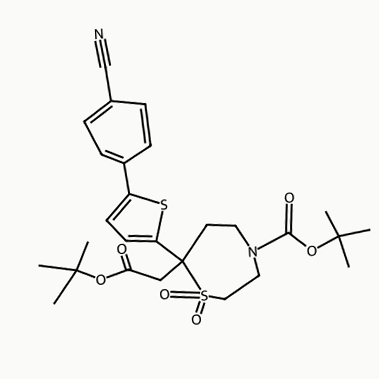 CC(C)(C)OC(=O)CC1(c2ccc(-c3ccc(C#N)cc3)s2)CCN(C(=O)OC(C)(C)C)CCS1(=O)=O